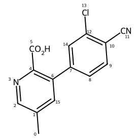 Cc1cnc(C(=O)O)c(-c2ccc(C#N)c(Cl)c2)c1